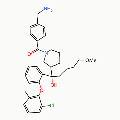 COCCCCC(O)(c1ccccc1Oc1c(C)cccc1Cl)C1CCCN(C(=O)c2ccc(CN)cc2)C1